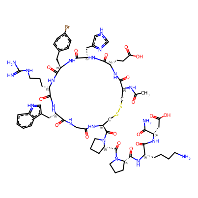 CC(=O)N[C@H]1CSSC[C@@H](C(=O)N2CCC[C@H]2C(=O)N2CCC[C@H]2C(=O)N[C@@H](CCCCN)C(=O)N[C@@H](CC(=O)O)C(N)=O)NC(=O)CNC(=O)[C@H](Cc2c[nH]c3ccccc23)NC(=O)[C@H](CCCNC(=N)N)NC(=O)[C@@H](Cc2ccc(Br)cc2)NC(=O)[C@H](Cc2c[nH]cn2)NC(=O)[C@H](CCC(=O)O)NC1=O